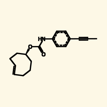 CC#Cc1ccc(NC(=O)O[C@@H]2CC/C=C/CCC2)cc1